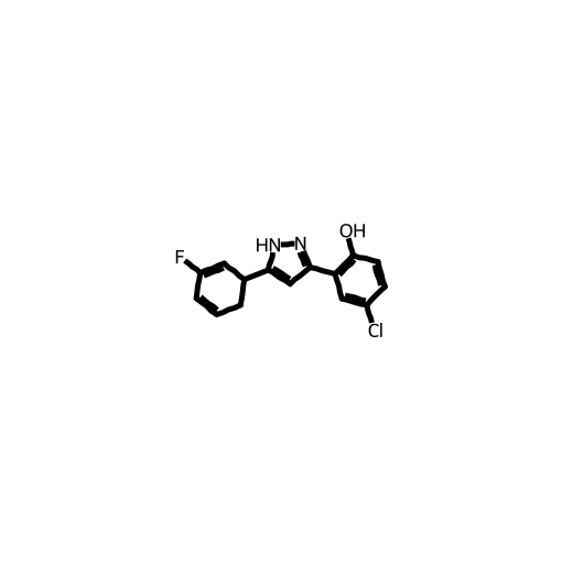 Oc1ccc(Cl)cc1-c1cc(C2C=C(F)C=CC2)[nH]n1